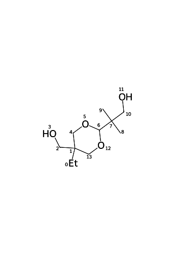 CCC1(CO)COC(C(C)(C)CO)OC1